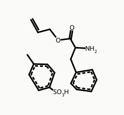 C=CCOC(=O)C(N)Cc1ccccc1.Cc1ccc(S(=O)(=O)O)cc1